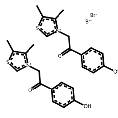 Cc1sc[n+](CC(=O)c2ccc(O)cc2)c1C.Cc1sc[n+](CC(=O)c2ccc(O)cc2)c1C.[Br-].[Br-]